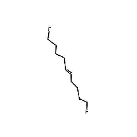 FCCCCC=CCCCCF